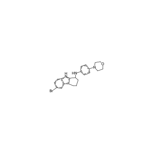 Brc1ccc2[nH]c3c(c2c1)CCCC3Nc1ccc(N2CCOCC2)cc1